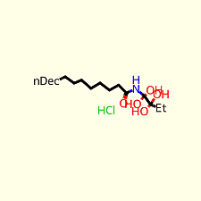 CCCCCCCCCCCCCCCCCC(=O)NC(O)(O)C(O)(O)CC.Cl